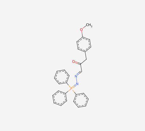 COc1ccc(CC(=O)C=NN=P(c2ccccc2)(c2ccccc2)c2ccccc2)cc1